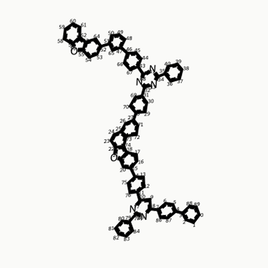 c1ccc(-c2ccc(-c3cc(-c4ccc(-c5ccc6c(c5)oc5ccc7cc(-c8ccc(-c9nc(-c%10ccccc%10)nc(-c%10ccc(-c%11cccc(-c%12ccc%13oc%14ccccc%14c%13c%12)c%11)cc%10)n9)cc8)ccc7c56)cc4)nc(-c4ccccc4)n3)cc2)cc1